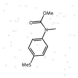 [CH2]OC(=O)N(C)c1ccc(SC)cc1